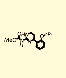 CCCOc1ccccc1C1CCNC(NC(=O)OC)=N1